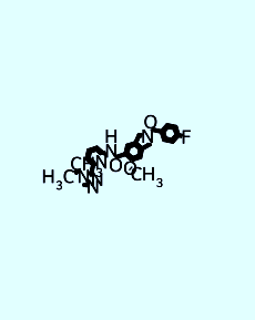 COc1cc2c(cc1C(=O)Nc1cccc(-c3nncn3C(C)C)n1)CN(C(=O)c1ccc(F)cc1)C2